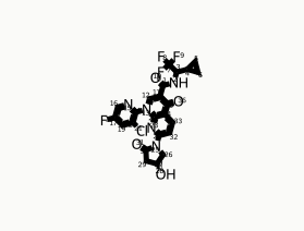 O=C(NC(C1CC1)C(F)(F)F)c1cn(-c2ncc(F)cc2Cl)c2nc(N3C[C@@H](O)CC3=O)ccc2c1=O